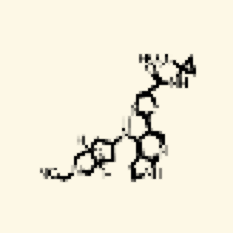 N#CCN1C[C@H]2CC(Nc3c(-c4ncc(C(=O)NC5(C(=O)O)CC5)s4)cnc4[nH]ccc34)C[C@H]2C1